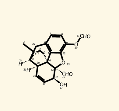 CN1CC[C@]23c4c5ccc(OC=O)c4O[C@@]2(C=O)[C@@H](O)C=C[C@H]3[C@H]1C5